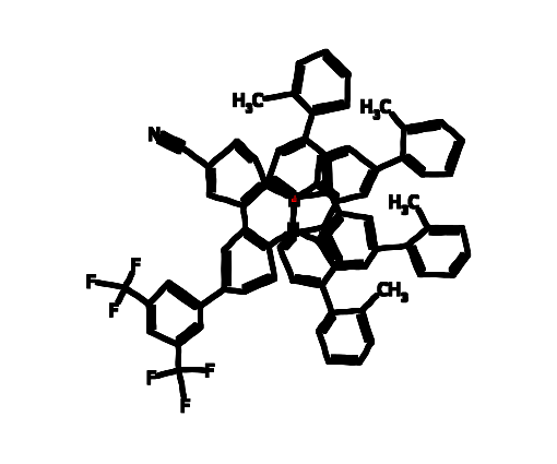 Cc1ccccc1-c1ccc2c(c1)c1cc(-c3ccccc3C)ccc1n2-c1ccc(C#N)cc1-c1cc(-c2cc(C(F)(F)F)cc(C(F)(F)F)c2)ccc1-n1c2ccc(-c3ccccc3C)cc2c2cc(-c3ccccc3C)ccc21